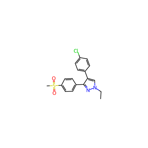 CCn1cc(-c2ccc(Cl)cc2)c(-c2ccc(S(C)(=O)=O)cc2)n1